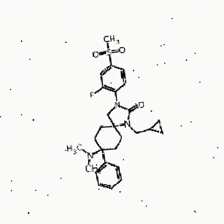 CN(C)C1(c2ccccc2)CCC2(CC1)CN(c1ccc(S(C)(=O)=O)cc1F)C(=O)N2CC1CC1